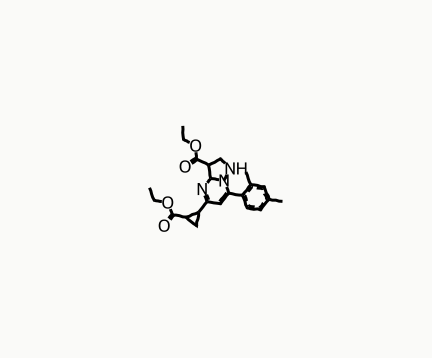 CCOC(=O)C1CC1C1=NC2C(C(=O)OCC)CNN2C(c2ccc(C)cc2C)=C1